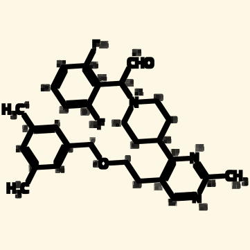 Cc1cc(C)cc(COCCc2cnc(C)nc2C2CCN(C(C=O)c3c(F)cccc3F)CC2)c1